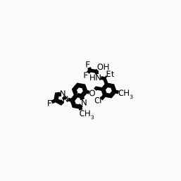 CC[C@H](NC(O)C(F)F)c1cc(C)cc(Cl)c1COc1cccc2c(-n3cc(F)cn3)cc(C)nc12